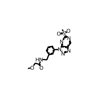 COCC(=O)NCc1cccc(-n2nnc3cnc(S(C)(=O)=O)nc32)c1